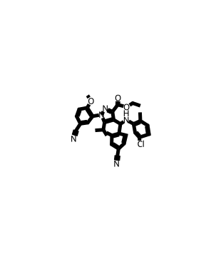 CCOC(=O)c1nn(-c2cc(C#N)ccc2OC)c(C(C)C)c1C(Nc1cc(Cl)ccc1C)c1ccc(C#N)cc1C